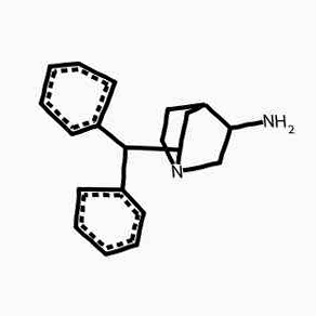 NC1CN2CCC1CC2C(c1ccccc1)c1ccccc1